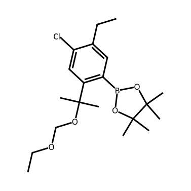 CCOCOC(C)(C)c1cc(Cl)c(CC)cc1B1OC(C)(C)C(C)(C)O1